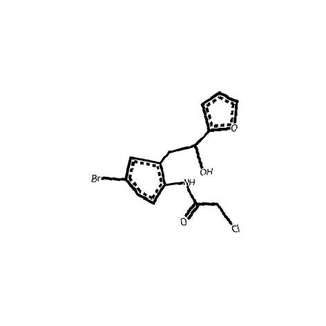 O=C(CCl)Nc1ccc(Br)cc1CC(O)c1ccco1